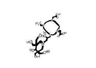 CCN1CCN(CC(=O)O)CCN(CC(=O)O)CCN(CC(O)CN2CC(CO)(CO)C(O)C(CO)(CO)C2)CC1